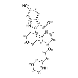 N#Cc1ccc2c3c([nH]c2c1)C1(CCOCC1)c1cc(OCCC2COCCN2)ccc1C3=O